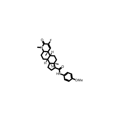 COc1ccc(NC(=O)C2CC[C@H]3[C@@H]4CCC5N(C)C(=O)C(F)=C[C@]5(C)[C@@H]4CC[C@]23C)cc1